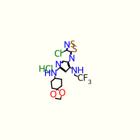 Cl.FC(F)(F)CNc1cc(NC2CCC3(CC2)OCCO3)ncc1/N=c1/ssnc1Cl